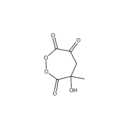 CC1(O)CC(=O)C(=O)OOC1=O